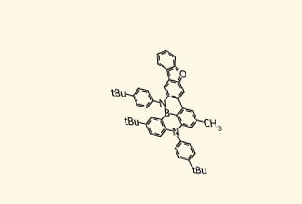 Cc1cc2c3c(c1)N(c1ccc(C(C)(C)C)cc1)c1ccc(C(C)(C)C)cc1B3N(c1ccc(C(C)(C)C)cc1)c1cc3c(cc1-2)oc1ccccc13